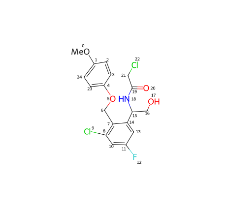 COc1ccc(OCc2c(Cl)cc(F)cc2C(CO)NC(=O)CCl)cc1